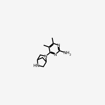 Cc1nc(N)nc(N2CC3CC2CN3)c1C